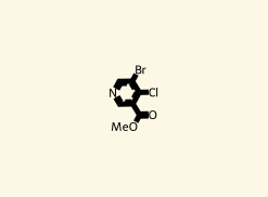 COC(=O)c1cncc(Br)c1Cl